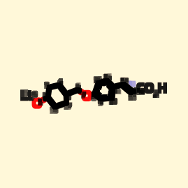 CCOC1CCC(COc2ccc(/C=C/C(=O)O)cc2)CC1